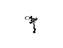 CCCCCCOc1c(C(C)(C)C)cc(C(C)=O)cc1C(C)(C)C